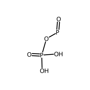 O=POP(=O)(O)O